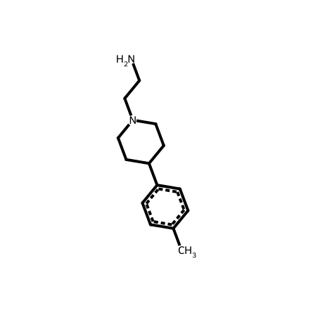 Cc1ccc(C2CCN(CCN)CC2)cc1